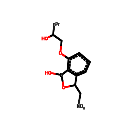 CCCC(O)COc1cccc2c1B(O)OC2C[N+](=O)[O-]